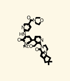 CC(=O)OCc1c(-c2cc(Nc3ccc(C(=O)N4CCOCC4)cn3)c(=O)n(C)c2)ccnc1N1CCn2c(cc3c2CC(C)(C)C3)C1=O